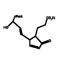 CCCCCC(O)C=CC1C=CC(=O)C1CCC(=O)OCC